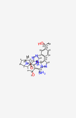 CC(=O)c1c(C2CC3CC[C@@H](C2)N3C(=O)c2nnc[nH]2)nc2c(-c3ccc([C@H](C)O)cc3)cnn2c1N